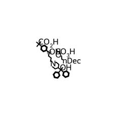 CC(C)(C(=O)O)c1ccc([C@@H](O)CCCN2CCC(C(O)(c3ccccc3)c3ccccc3)CC2)cc1.CCCCCCCCCCCCOS(=O)(=O)O